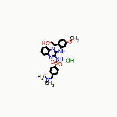 COc1ccc(CCO)c(Nc2nc3ccccc3nc2NS(=O)(=O)c2ccc(CN(C)C)cc2)c1.Cl